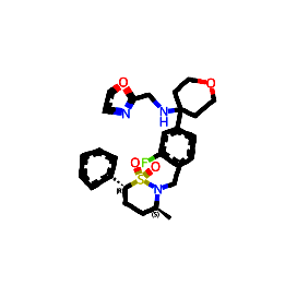 C[C@H]1CC[C@H](c2ccccc2)S(=O)(=O)N1Cc1ccc(C2(NCc3ncco3)CCOCC2)cc1F